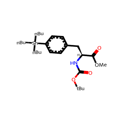 CCC[CH2][Sn]([CH2]CCC)([CH2]CCC)[c]1ccc(C[C@H](NC(=O)OC(C)(C)C)C(=O)OC)cc1